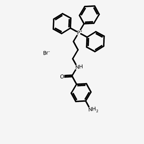 Nc1ccc(C(=O)NCCC[P+](c2ccccc2)(c2ccccc2)c2ccccc2)cc1.[Br-]